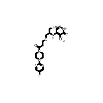 COCC(COCCC(=O)N1CCN(c2ncc(Cl)cn2)CC1)Nc1cn[nH]c(=O)c1C(F)(F)F